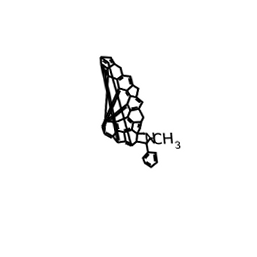 CN1CC23C=C4Cc5cc6c7c8c(cc9c%10c8c8c%11c7c5c5c4c2c2c4c(cc7cc(c%12c7c4c(c2c5%11)c8c%12%10)C9)C3C1c1ccccc1)C6